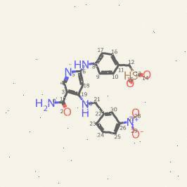 NC(=O)c1cnc(Nc2ccc(C[SH](=O)=O)cc2)cc1NCc1cccc([N+](=O)[O-])c1